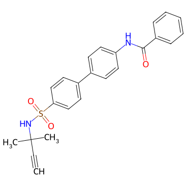 C#CC(C)(C)NS(=O)(=O)c1ccc(-c2ccc(NC(=O)c3ccccc3)cc2)cc1